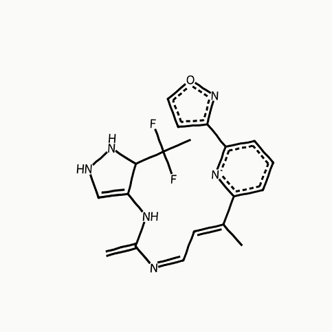 C=C(/N=C\C=C(/C)c1cccc(-c2ccon2)n1)NC1=CNNC1C(C)(F)F